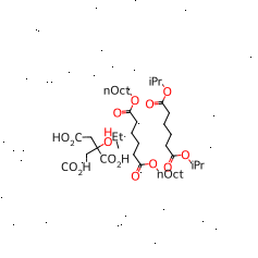 CC(C)OC(=O)CCCCC(=O)OC(C)C.CCCCCCCCOC(=O)CCCCC(=O)OCCCCCCCC.C[CH]C.O=C(O)CC(O)(CC(=O)O)C(=O)O